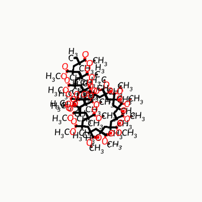 CCC(C)(CC(C)(CC(C)(CC(C)(CC(C)(CC(C)(CC(C)(CC(C)(CC(C)(CC(C)(CC(C)(CC(C)(CC(C)(CC(C)(CC(C)(CC(C)(CC(C)(CC(C)(CC(C)(CC(C)C(=O)OC)C(=O)OC)C(=O)OC)C(=O)OC)C(=O)OC)C(=O)OC)C(=O)OC)C(=O)OC)C(=O)OC)C(=O)OC)C(=O)OC)C(=O)OC)C(=O)OC)C(=O)OC)C(=O)OC)C(=O)OC)C(=O)OC)C(=O)OC)C(=O)OC)C(=O)OC